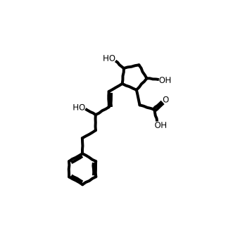 O=C(O)CC1C(O)CC(O)C1C=CC(O)CCc1ccccc1